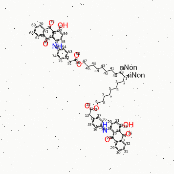 CCCCCCCCCC(CCCCCCCCOC(=O)Cc1ccc(Nc2ccc(O)c3c2C(=O)c2ccccc2C3=O)cc1)C(CCCCCCCCC)CCCCCCCCOC(=O)Cc1ccc(Nc2ccc(O)c3c2C(=O)c2ccccc2C3=O)cc1